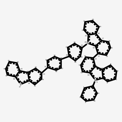 c1ccc(-n2c3ccccc3c3c(-c4cccc5c6ccccc6n(-c6ccc(-c7ccc(-c8ccc9sc%10ccccc%10c9c8)cc7)cc6)c45)cccc32)cc1